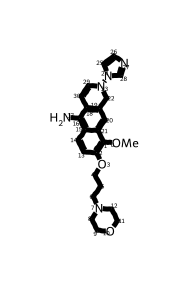 COc1c(OCCCN2CCOCC2)ccc2c(N)c3c(cc12)CN(n1ccnc1)C=C3